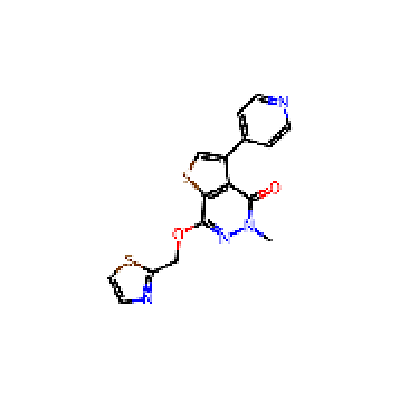 Cn1nc(OCc2nccs2)c2scc(-c3ccncc3)c2c1=O